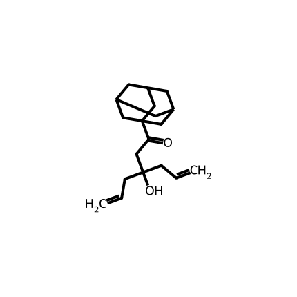 C=CCC(O)(CC=C)CC(=O)C12CC3CC(CC(C3)C1)C2